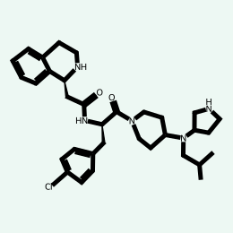 CC(C)CN(C1CCN(C(=O)[C@@H](Cc2ccc(Cl)cc2)NC(=O)C[C@@H]2NCCc3ccccc32)CC1)C1CCNC1